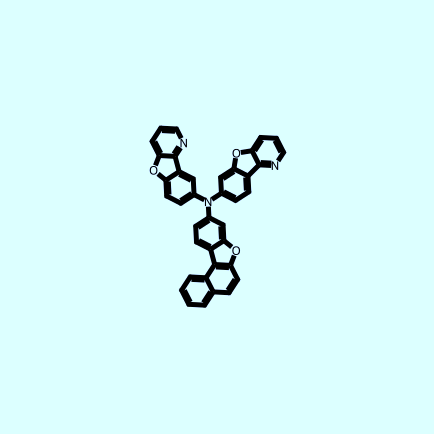 c1ccc2c(c1)ccc1oc3cc(N(c4ccc5c(c4)oc4cccnc45)c4ccc5oc6cccnc6c5c4)ccc3c12